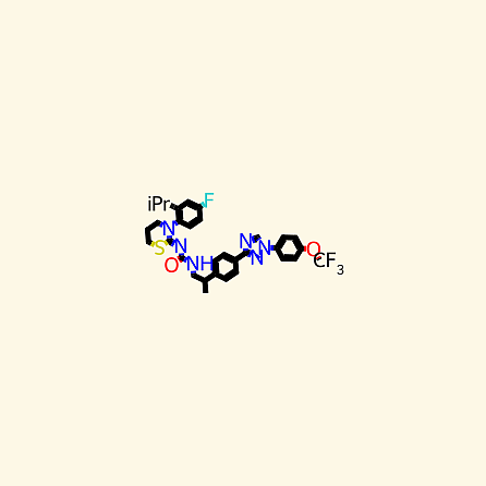 CC(C)c1cc(F)ccc1N1CCCS/C1=N\C(=O)NCC(C)c1ccc(-c2ncn(-c3ccc(OC(F)(F)F)cc3)n2)cc1